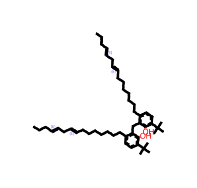 CCC/C=C/C/C=C/CCCCCCCc1ccc(C(C)(C)C)c(O)c1Cc1c(CCCCCCC/C=C/C/C=C/CCC)ccc(C(C)(C)C)c1O